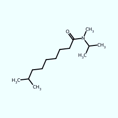 CC(C)CCCCCCC(=O)N(C)C(C)C